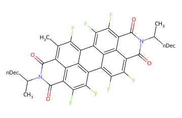 CCCCCCCCCCC(C)N1C(=O)c2c(C)c(F)c3c4c(F)c(F)c5c6c(c(F)c(F)c(c7c(F)c(F)c(c2c37)C1=O)c64)C(=O)N(C(C)CCCCCCCCCC)C5=O